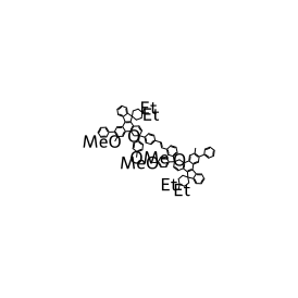 CCC1(CC)CCC2(CC1)c1ccccc1-c1c2c2c(c3cc(C)c(-c4ccccc4)cc13)OC(c1ccc(OC)cc1)(c1cccc(/C=C/c3ccc(C4(c5ccc(OC)cc5)C=Cc5c6c(c7cc(-c8ccccc8)c(OC)cc7c5O4)-c4ccccc4C64CCC(CC)(CC)CC4)cc3)c1)C=C2